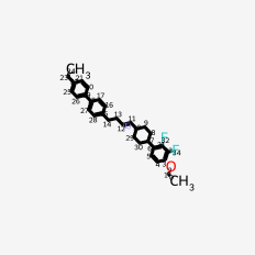 CCOc1ccc(C2CCC(/C=C/CCc3ccc(-c4ccc(CC)cc4)cc3)CC2)c(F)c1F